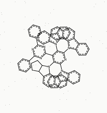 c1ccc(-c2nc(-c3ccccc3)nc(-c3c(N4c5c(ccc6ccccc56)C5CCCC54)c(-n4c5ccccc5c5ccccc54)nc(-n4c5ccccc5c5ccc6ccccc6c54)c3-n3c4ccccc4c4ccccc43)n2)cc1